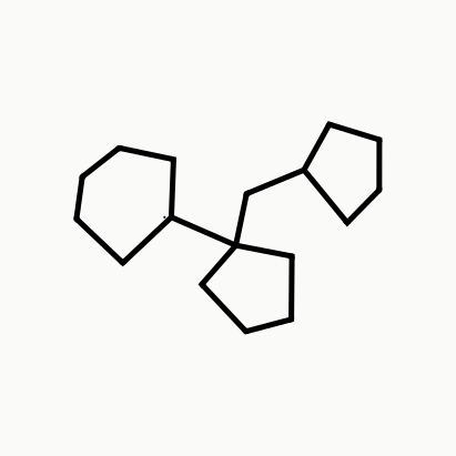 C1CC[C](C2(CC3CCCC3)CCCC2)CC1